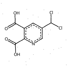 O=C(O)c1cc(C(Cl)Cl)cnc1C(=O)O